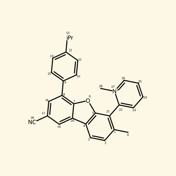 Cc1ccc2c(oc3c(-c4ccc(C(C)C)cc4)cc(C#N)cc32)c1-c1cccc[n+]1C